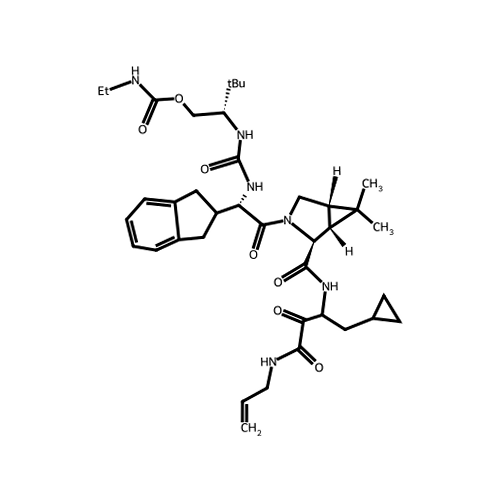 C=CCNC(=O)C(=O)C(CC1CC1)NC(=O)[C@@H]1[C@@H]2[C@H](CN1C(=O)[C@@H](NC(=O)N[C@H](COC(=O)NCC)C(C)(C)C)C1Cc3ccccc3C1)C2(C)C